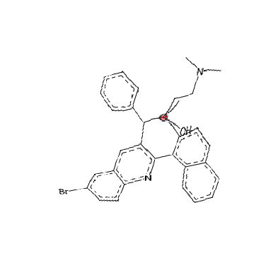 COc1ccc2ccccc2c1-c1nc2ccc(Br)cc2cc1C(c1ccccc1)C(O)CCN(C)C